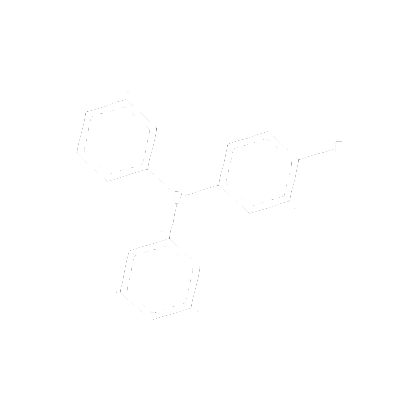 Fc1ccc(B(c2ccccc2)c2ccccc2)cc1